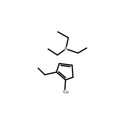 CCC1=[C]([Cu])CC=C1.CCP(CC)CC